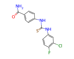 NC(=O)c1ccc(NC(=S)Nc2ccc(F)c(Cl)c2)cc1